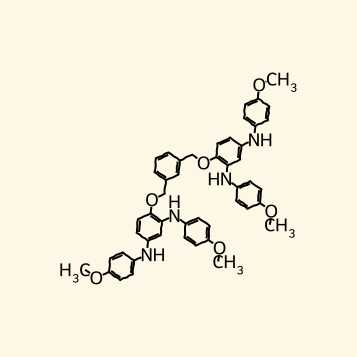 COc1ccc(Nc2ccc(OCc3cccc(COc4ccc(Nc5ccc(OC)cc5)cc4Nc4ccc(OC)cc4)c3)c(Nc3ccc(OC)cc3)c2)cc1